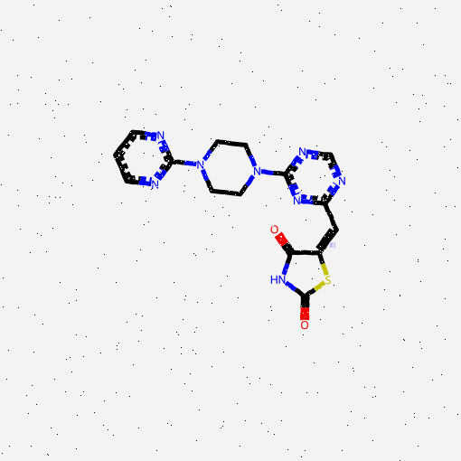 O=C1NC(=O)/C(=C\c2ncnc(N3CCN(c4ncccn4)CC3)n2)S1